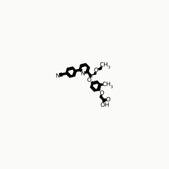 CCOC[C@@H](Oc1ccc(OCC(=O)O)c(C)c1)c1cccc(-c2ccc(C#N)cc2)n1